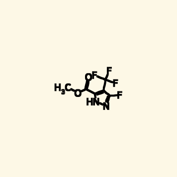 COC(=O)c1[nH]nc(F)c1C(F)(F)F